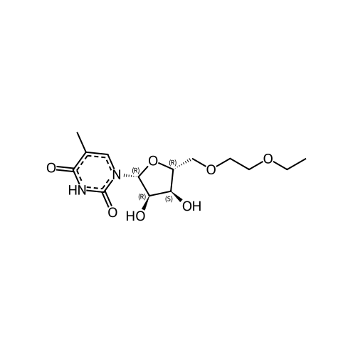 CCOCCOC[C@H]1O[C@@H](n2cc(C)c(=O)[nH]c2=O)[C@H](O)[C@@H]1O